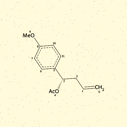 C=CC[C@H](OC(C)=O)c1ccc(OC)cc1